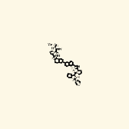 COC(=O)NC(C(=O)N1CCCC1c1nc2ccc3cc(-c4ccc5cc(-c6cnc(C7CCCN7C(=O)C(NC(=O)N7CCOCC7)c7ccccc7)[nH]6)ccc5c4)ccc3c2[nH]1)C(C)C